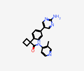 Cc1cnccc1NC(=O)C1(c2ccc(-c3cnc(N)nc3)cc2)CCC1